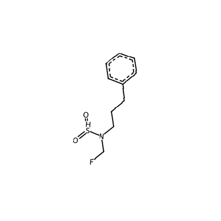 O=[SH](=O)N(CF)CCCc1ccccc1